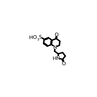 O=C1CCC(CN2CCC(=O)c3cc(S(=O)(=O)O)ccc32)N1